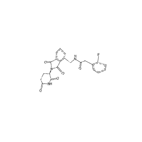 O=C(Cc1ccccc1F)NCc1cccc2c1C(=O)N([C@@H]1CCC(=O)NC1=O)C2=O